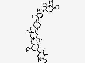 COC1CC(c2cn(C)c(=O)c(C)c2C)CC(OC)C1CN1CCC(N2CCN(c3ccc(NC4CCC(=O)NC4=O)cc3F)CC2)C(F)(F)C1